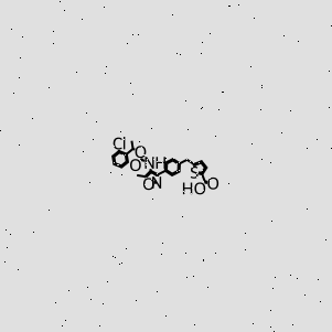 Cc1onc(-c2ccc(Cc3ccc(C(=O)O)s3)cc2)c1NC(=O)OC(C)c1ccccc1Cl